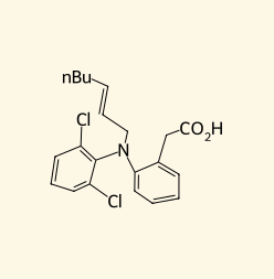 CCCCC=CCN(c1ccccc1CC(=O)O)c1c(Cl)cccc1Cl